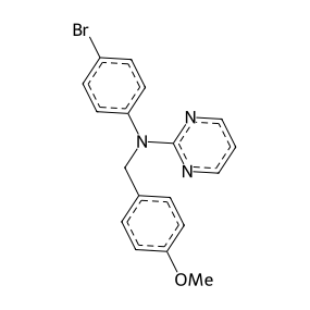 COc1ccc(CN(c2ccc(Br)cc2)c2ncccn2)cc1